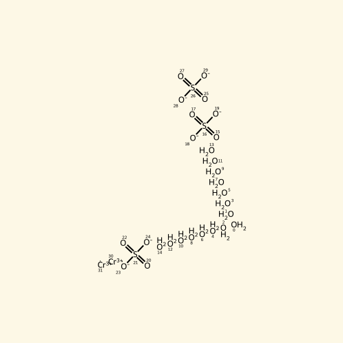 O.O.O.O.O.O.O.O.O.O.O.O.O.O.O.O=S(=O)([O-])[O-].O=S(=O)([O-])[O-].O=S(=O)([O-])[O-].[Cr+3].[Cr+3]